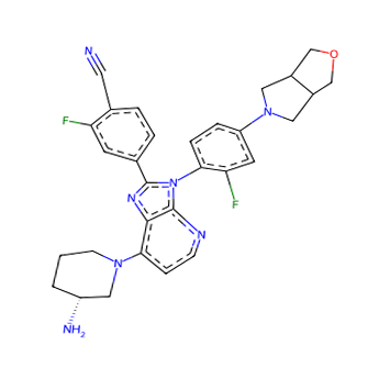 N#Cc1ccc(-c2nc3c(N4CCC[C@@H](N)C4)ccnc3n2-c2ccc(N3CC4COCC4C3)cc2F)cc1F